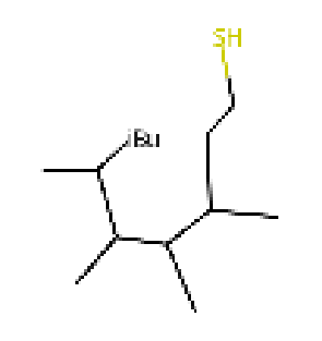 CCC(C)C(C)C(C)C(C)C(C)CCS